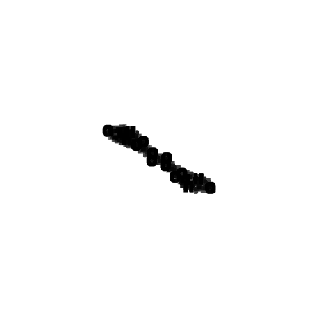 C[C@]12CC[C@H]3[C@@H](CCC4=CC(=O)CC[C@@]43C)[C@@H]1CC[C@@H]2OC(=O)CCCOC(=O)CCC(=O)OCCCC(=O)O[C@H]1CC[C@H]2[C@@H]3CCC4=CC(=O)CC[C@]4(C)[C@H]3CC[C@]12C